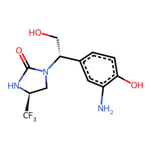 Nc1cc([C@@H](CO)N2C[C@@H](C(F)(F)F)NC2=O)ccc1O